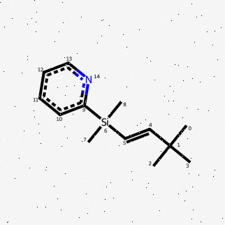 CC(C)(C)C=C[Si](C)(C)c1ccccn1